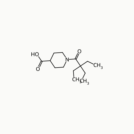 CCC(CC)(CC)C(=O)N1CCC(C(=O)O)CC1